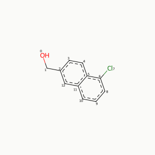 OCc1ccc2c(Cl)cccc2c1